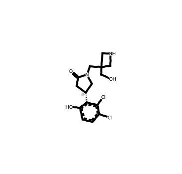 O=C1C[C@@H](c2c(O)ccc(Cl)c2Cl)CN1CC1(CO)CNC1